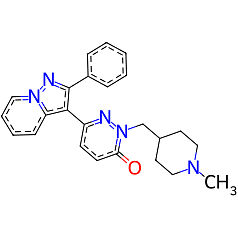 CN1CCC(Cn2nc(-c3c(-c4ccccc4)nn4ccccc34)ccc2=O)CC1